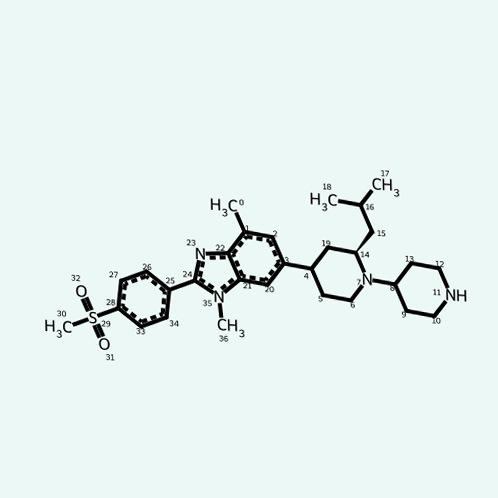 Cc1cc(C2CCN(C3CCNCC3)[C@H](CC(C)C)C2)cc2c1nc(-c1ccc(S(C)(=O)=O)cc1)n2C